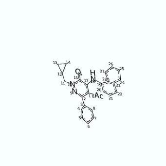 CC(=O)c1c(-c2ccccc2)nn(CC2CC2)c(=O)c1Nc1cccc2ccccc12